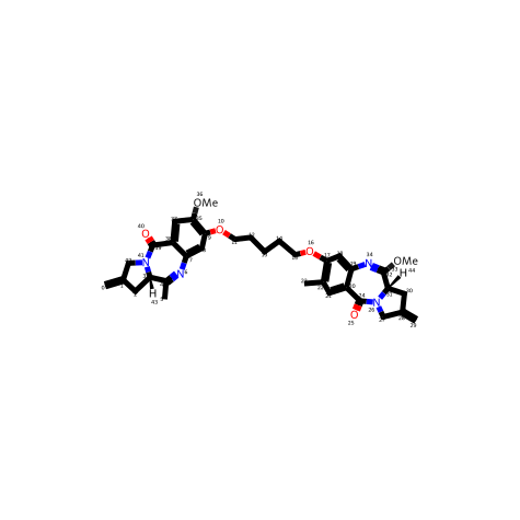 C=C1C[C@H]2C(C)=Nc3cc(OCCCCCOc4cc5c(cc4C)C(=O)N4CC(=C)C[C@H]4C(OC)=N5)c(OC)cc3C(=O)N2C1